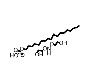 CCCCCCCCCCCCCCCCCCOS(=O)(=O)O.OCCONOCCO